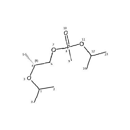 CC(C)O[C@H](C)COP(C)(=O)OC(C)C